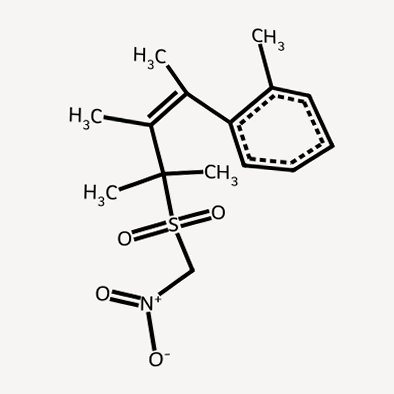 CC(=C(C)C(C)(C)S(=O)(=O)C[N+](=O)[O-])c1ccccc1C